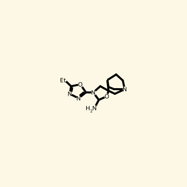 CCc1nnc(N2CC3(CN4CCC3CC4)OC2N)o1